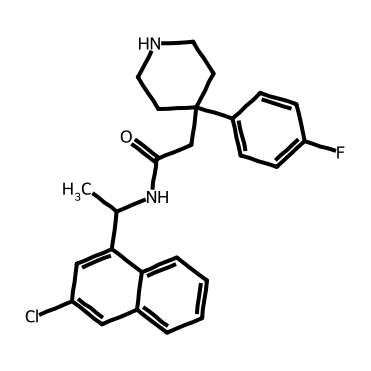 CC(NC(=O)CC1(c2ccc(F)cc2)CCNCC1)c1cc(Cl)cc2ccccc12